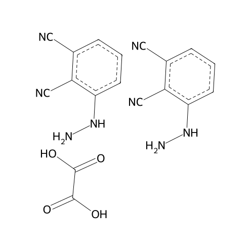 N#Cc1cccc(NN)c1C#N.N#Cc1cccc(NN)c1C#N.O=C(O)C(=O)O